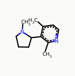 Cc1ccnc(C)c1C1CCCN1C